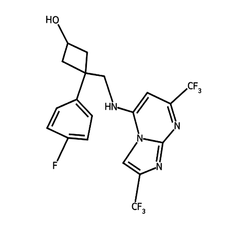 OC1CC(CNc2cc(C(F)(F)F)nc3nc(C(F)(F)F)cn23)(c2ccc(F)cc2)C1